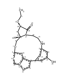 CCO[C@@H]1C[C@H]2COc3ccn4ncc(c4n3)-c3cc(O)cc(c3)NCCN2C1=O